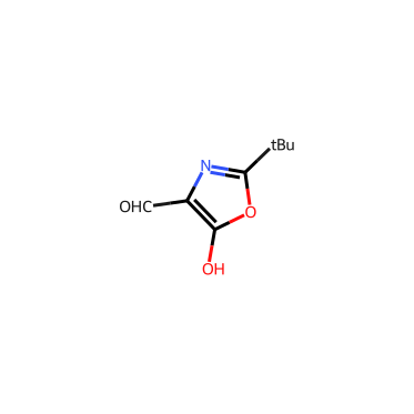 CC(C)(C)c1nc(C=O)c(O)o1